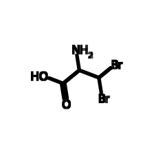 NC(C(=O)O)C(Br)Br